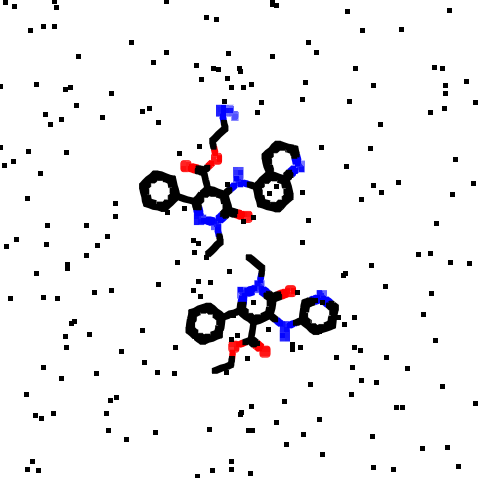 CCOC(=O)c1c(-c2ccccc2)nn(CC)c(=O)c1Nc1cccnc1.CCn1nc(-c2ccccc2)c(C(=O)OCCN)c(Nc2cccc3ncccc23)c1=O